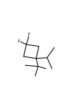 CC(C)C1(C(C)(C)C)CC(F)(F)C1